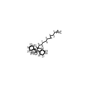 CC(=O)CCCCCCCCCC(C)(C)[Si](O)(c1ccccc1)c1ccccc1